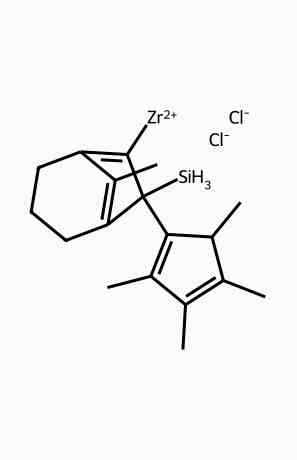 CC1=C(C)C(C)C(C2([SiH3])[C]([Zr+2])=C3CCCC2=C3C)=C1C.[Cl-].[Cl-]